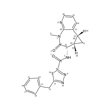 CN1C(=O)[C@@H](NC(=O)c2nnc(Cc3ccccc3)s2)[C@H]2C[C@H]2c2cccnc21